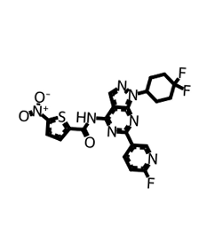 O=C(Nc1nc(-c2ccc(F)nc2)nc2c1cnn2C1CCC(F)(F)CC1)c1ccc([N+](=O)[O-])s1